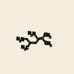 CC(C)=C(N)/C=C(/C)CN